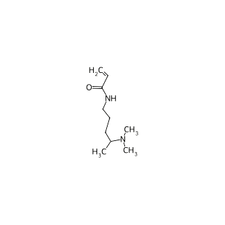 C=CC(=O)NCCCC(C)N(C)C